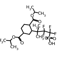 CC(C)OC(=O)C1CCC(C(=O)OC(C)C)C(C(C)(C)C(F)(F)C(F)(F)S(=O)(=O)O)C1